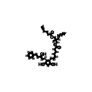 C#CCCCC(=O)OCC(C)(CN=[N+]=[N-])COC(=O)CCC/C=C\C[C@@H]1[C@@H](CC[C@@H](O)CCc2ccccc2)[C@H](O)C[C@@H]1O